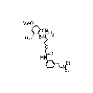 CCN(CC)CCc1cccc(NC(=O)COCCN(C)Sc2c(C)cc(OC)cc2C)c1